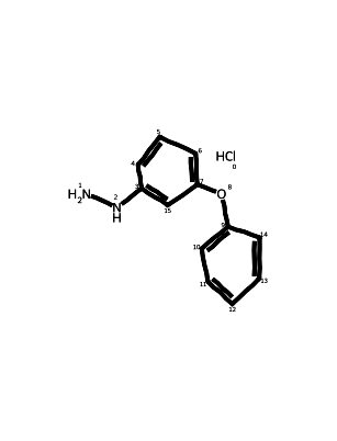 Cl.NNc1cccc(Oc2ccccc2)c1